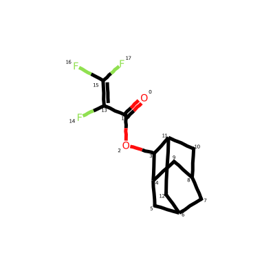 O=C(OC1C2CC3CC(C2)CC1C3)C(F)=C(F)F